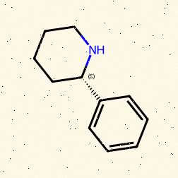 [CH]1CCN[C@H](c2ccccc2)C1